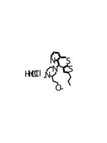 CCCc1cc2c(s1)SC=c1cccnc1=C2N1CCN(C)C(CCOC)C1.Cl.Cl